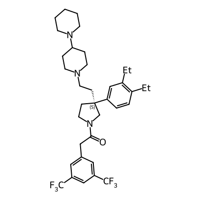 CCc1ccc([C@]2(CCN3CCC(N4CCCCC4)CC3)CCN(C(=O)Cc3cc(C(F)(F)F)cc(C(F)(F)F)c3)C2)cc1CC